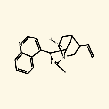 C=CC1C[N@+]2(CC)CCC1C[C@@H]2[C@@H](O)c1ccnc2ccccc12